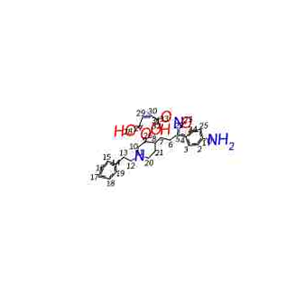 Nc1ccc2c(CCC3CCN(CCc4ccccc4)CC3)noc2c1.O=C(O)/C=C\C(=O)O